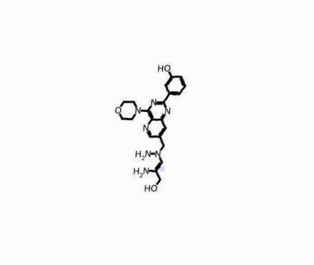 N/C(=C\N(N)Cc1cnc2c(N3CCOCC3)nc(-c3cccc(O)c3)nc2c1)CO